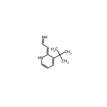 CC(C)(C)C1=CC=CN/C1=C\C=N